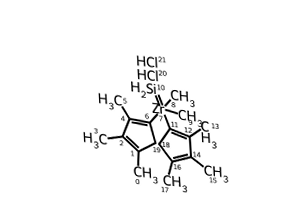 CC1=C(C)C(C)=[C]([Zr]([CH3])([CH3])(=[SiH2])[C]2=C(C)C(C)=C(C)C2)C1.Cl.Cl